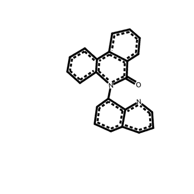 O=c1c2ccccc2c2ccccc2n1-c1cccc2cccnc12